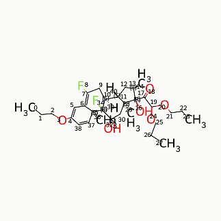 CCCOC1=CC2=C(F)C[C@H]3[C@@H]4C[C@@H](C)[C@](O)(C(=O)C(OCCC)OCCC)[C@@]4(C)C[C@H](O)[C@]3(F)[C@@]2(C)C=C1